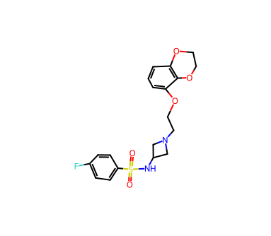 O=S(=O)(NC1CN(CCOc2cccc3c2OCCO3)C1)c1ccc(F)cc1